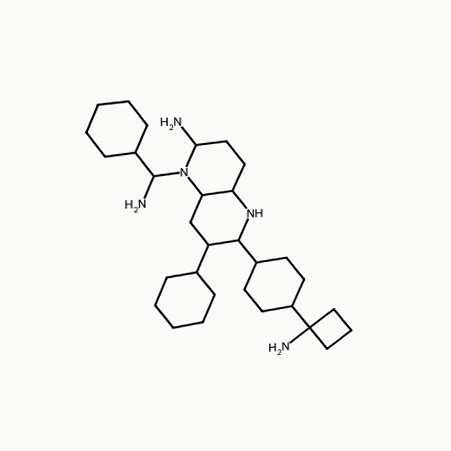 NC1CCC2NC(C3CCC(C4(N)CCC4)CC3)C(C3CCCCC3)CC2N1C(N)C1CCCCC1